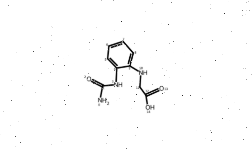 NC(=O)Nc1ccccc1NCC(=O)O